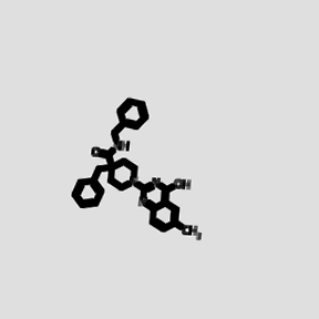 Cc1ccc2nc(N3CCC(Cc4ccccc4)(C(=O)NCc4ccccc4)CC3)nc(O)c2c1